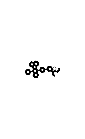 C=Cc1c(/C=C\C)oc2ccc(-c3ccc(-c4c5c(c(-c6ccccc6)c6ccccc46)-c4cccc6cccc-5c46)cc3)cc12